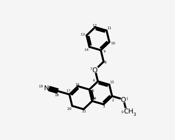 COc1cc2c(c(OCc3ccccc3)c1)C=C(C#N)CC2